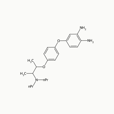 CCCN(CCC)C(C)C(C)Oc1ccc(Oc2ccc(N)c(N)c2)cc1